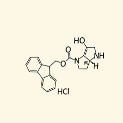 Cl.O=C(OCC1c2ccccc2-c2ccccc21)N1CC[C@H]2NCC(O)=C21